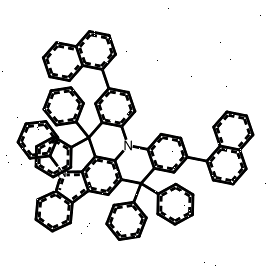 c1ccc(-n2c3ccccc3c3cc4c5c(c32)C(c2ccccc2)(c2ccccc2)c2cc(-c3cccc6ccccc36)ccc2N5c2ccc(-c3cccc5ccccc35)cc2C4(c2ccccc2)c2ccccc2)cc1